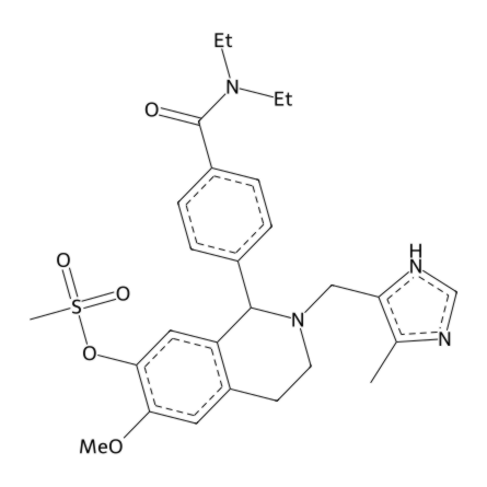 CCN(CC)C(=O)c1ccc(C2c3cc(OS(C)(=O)=O)c(OC)cc3CCN2Cc2[nH]cnc2C)cc1